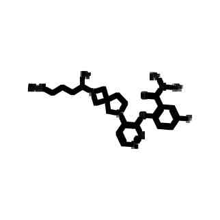 CNCCCC(C(C)C)N1CC2(CCN(c3ccnnc3Oc3ccc(F)cc3C(=O)N(C(C)C)C(C)C)C2)C1